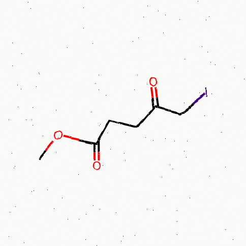 COC(=O)CCC(=O)CI